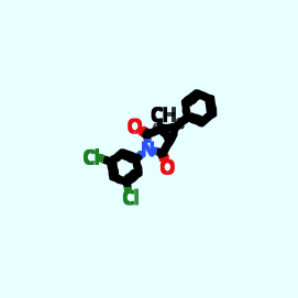 C[C@]12C(=O)N(c3cc(Cl)cc(Cl)c3)C(=O)C1C2c1ccccc1